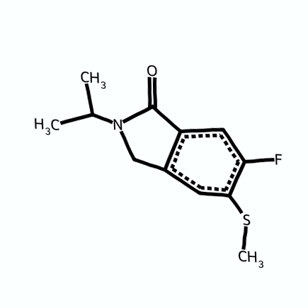 CSc1cc2c(cc1F)C(=O)N(C(C)C)C2